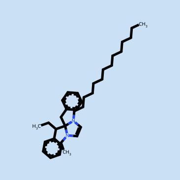 CCCCCCCCCCCCCCN1C=CN(CC)C1(Cc1ccccc1)C(CC)c1ccccc1